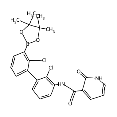 CC1(C)OB(c2cccc(-c3cccc(NC(=O)c4ccn[nH]c4=O)c3Cl)c2Cl)OC1(C)C